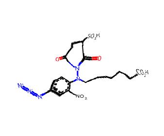 [N-]=[N+]=Nc1ccc(N(CCCCCC(=O)O)N2C(=O)CC(S(=O)(=O)O)C2=O)c([N+](=O)[O-])c1